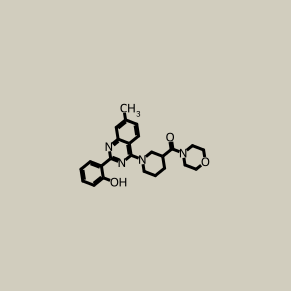 Cc1ccc2c(N3CCCC(C(=O)N4CCOCC4)C3)nc(-c3ccccc3O)nc2c1